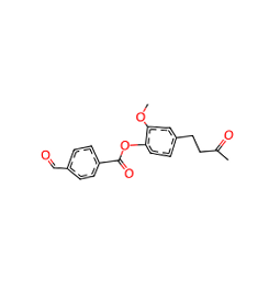 COc1cc(CCC(C)=O)ccc1OC(=O)c1ccc(C=O)cc1